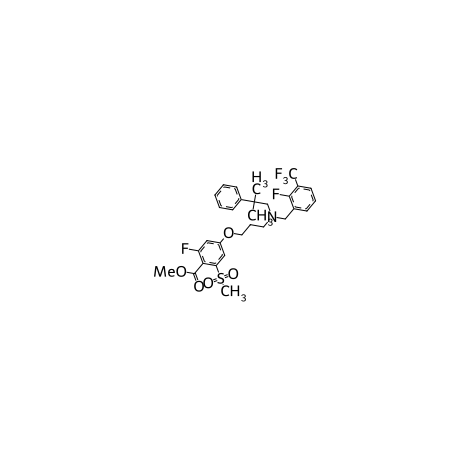 COC(=O)c1c(F)cc(OCCCN(Cc2cccc(C(F)(F)F)c2F)CC(C)(C)c2ccccc2)cc1S(C)(=O)=O